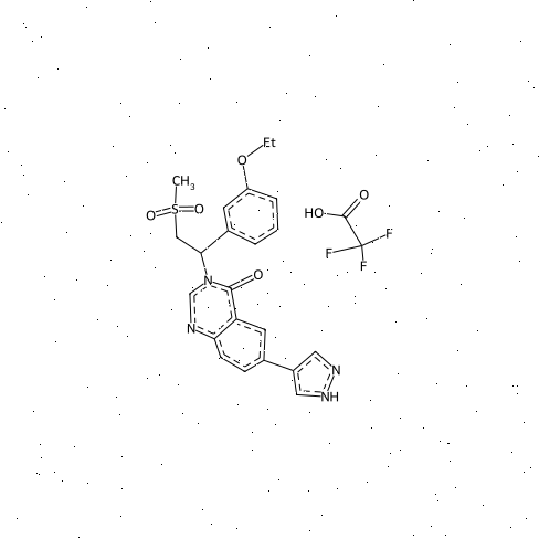 CCOc1cccc(C(CS(C)(=O)=O)n2cnc3ccc(-c4cn[nH]c4)cc3c2=O)c1.O=C(O)C(F)(F)F